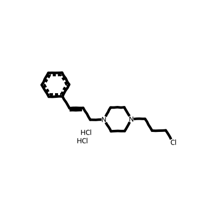 Cl.Cl.ClCCCN1CCN(CC=Cc2ccccc2)CC1